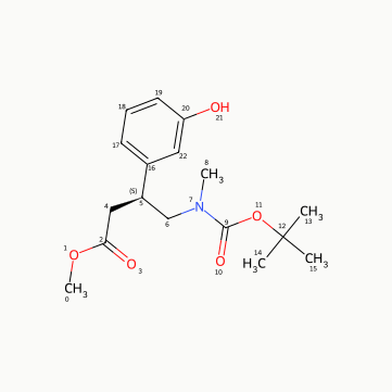 COC(=O)C[C@H](CN(C)C(=O)OC(C)(C)C)c1cccc(O)c1